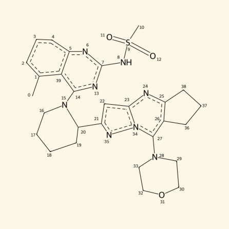 Cc1cccc2nc(NS(C)(=O)=O)nc(N3CCCCC3c3cc4nc5c(c(N6CCOCC6)n4n3)CCC5)c12